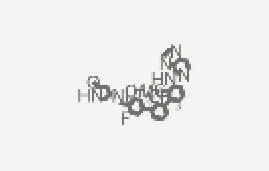 COc1cc(-c2cccc(-c3cccc(Nc4nccc5nccnc45)c3C)c2C)cc(F)c1CN[C@@H]1CNC(=O)C1